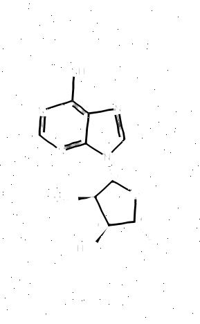 CC[C@H]1O[C@@H](n2cnc3c(N)ncnc32)[C@H](OC)[C@@H]1C